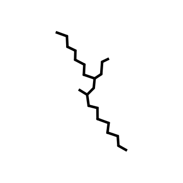 CCCCCCCCC(C)CC(CCC)CCCCCCC